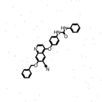 N#Cc1cc2c(Oc3ccc(NC(=O)Nc4ccccc4)cc3)ccnc2cc1OCc1ccccc1